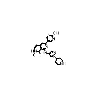 O=CC1NC=Cc2cc(-c3cnc(O)nc3)nc(Nc3cnn(C4CCNCC4)c3)c21